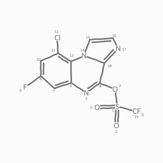 O=S(=O)(Oc1nc2cc(F)cc(Cl)c2n2ccnc12)C(F)(F)F